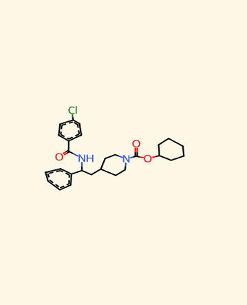 O=C(NC(CC1CCN(C(=O)OC2CCCCC2)CC1)c1ccccc1)c1ccc(Cl)cc1